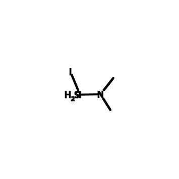 CN(C)[SiH2]I